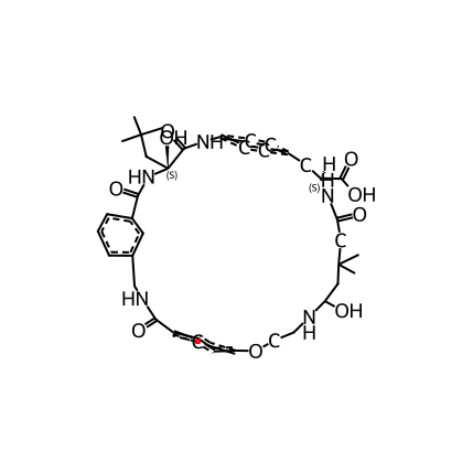 CC(C)(C)C[C@@]1(O)NC(=O)c2cccc(c2)CNC(=O)c2ccc(cc2)OCCNC(O)CC(C)(C)CC(=O)N[C@H](C(=O)O)Cc2ccc(cc2)NC1=O